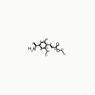 C=C(N)c1cc(C)c(/C=C/C(=O)OCC)c(CC)c1